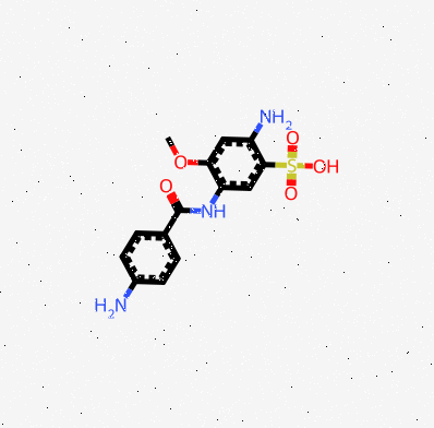 COc1cc(N)c(S(=O)(=O)O)cc1NC(=O)c1ccc(N)cc1